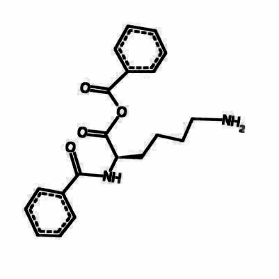 NCCCC[C@@H](NC(=O)c1ccccc1)C(=O)OC(=O)c1ccccc1